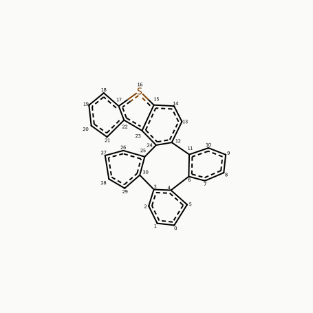 c1ccc2c(c1)-c1ccccc1-c1ccc3sc4ccccc4c3c1-c1ccccc1-2